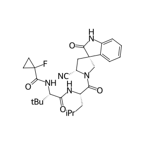 CC(C)C[C@H](NC(=O)[C@@H](NC(=O)C1(F)CC1)C(C)(C)C)C(=O)N1C[C@]2(C[C@H]1C#N)C(=O)Nc1ccccc12